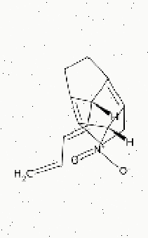 C=C/C=C/[C@H]1C2=C3CCC(=C1CC2)[C@H]3[N+](=O)[O-]